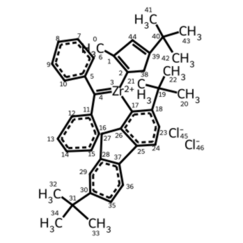 CC1=[C]([Zr+2](=[C](c2ccccc2)c2ccccc2)[c]2c(C(C)(C)C)ccc3c2Cc2cc(C(C)(C)C)ccc2-3)CC(C(C)(C)C)=C1.[Cl-].[Cl-]